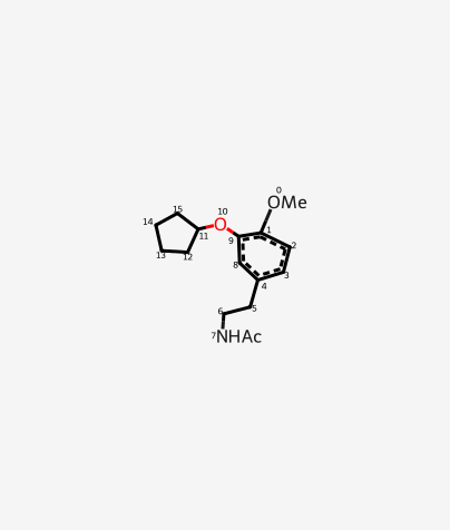 COc1ccc(CCNC(C)=O)cc1OC1CCCC1